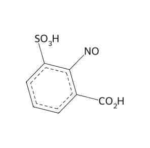 O=Nc1c(C(=O)O)cccc1S(=O)(=O)O